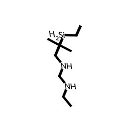 CCNCNCC(C)(C)[SiH2]CC